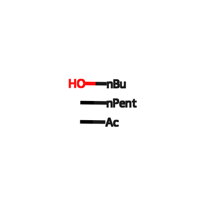 CC(C)=O.CCCCCC.CCCCO